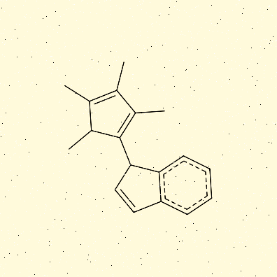 CC1=C(C)C(C)C(C2C=Cc3ccccc32)=C1C